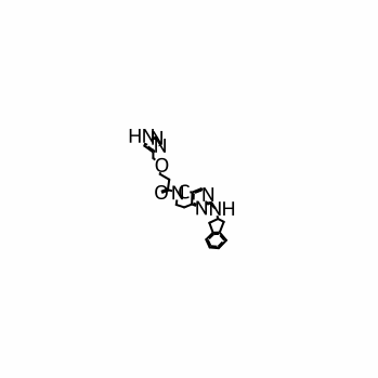 O=C(CCOCc1c[nH]nn1)N1CCc2nc(NC3Cc4ccccc4C3)ncc2C1